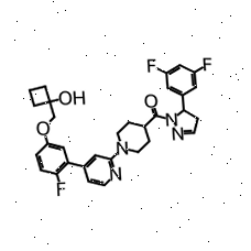 O=C(C1CCN(c2cc(-c3cc(OCC4(O)CCC4)ccc3F)ccn2)CC1)N1N=CCC1c1cc(F)cc(F)c1